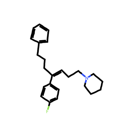 Fc1ccc(/C(=C\CCN2CCCCC2)CCCc2ccccc2)cc1